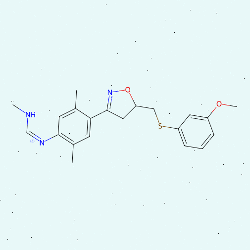 CN/C=N\c1cc(C)c(C2=NOC(CSc3cccc(OC)c3)C2)cc1C